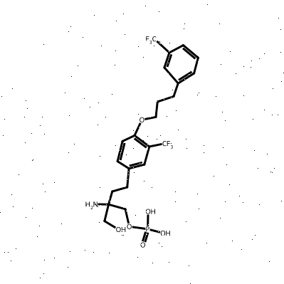 NC(CO)(CCc1ccc(OCCCc2cccc(C(F)(F)F)c2)c(C(F)(F)F)c1)COP(=O)(O)O